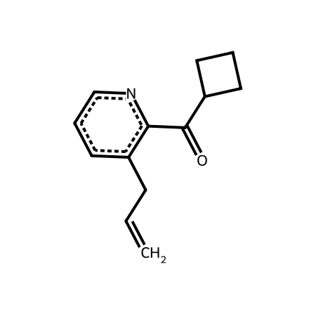 C=CCc1cccnc1C(=O)C1CCC1